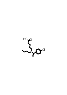 CCCCN(CCCCC(=O)O)C(=O)c1ccc(Cl)cc1